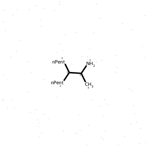 CCCCCC(CCCCC)C(C)N